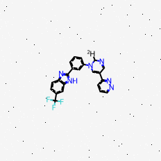 [2H]C1N=CC(c2cccnn2)=CN1c1cccc(-c2nc3ccc(C(F)(F)F)cc3[nH]2)c1